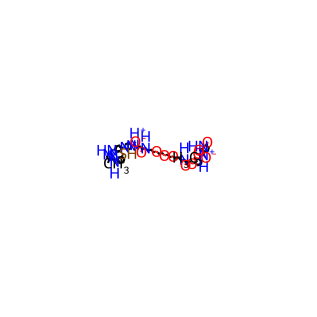 Cc1cnc(Nc2ccc(N3CCN([NH+]([O-])CCC(=O)NCCCOCCOCCOCCCNC(=O)COc4cccc(C(=O)[NH+]([O-])C5CCC(=O)NC5=O)c4C)CC3)cc2)nc1Nc1cccc(S)c1